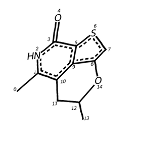 Cc1[nH]c(=O)c2scc3c2c1CC(C)O3